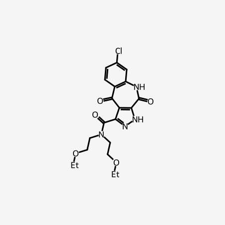 CCOCCN(CCOCC)C(=O)c1n[nH]c2c(=O)[nH]c3cc(Cl)ccc3c(=O)c12